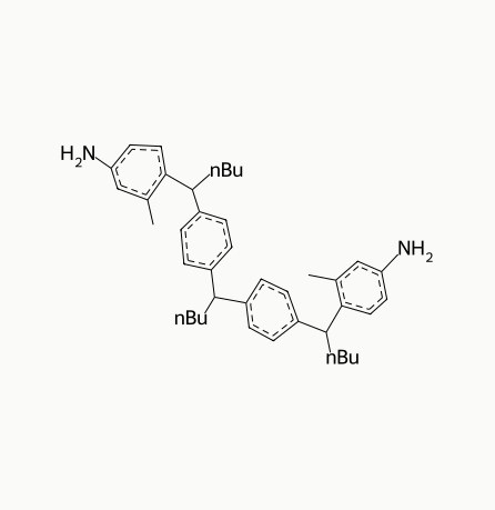 CCCCC(c1ccc(C(CCCC)c2ccc(N)cc2C)cc1)c1ccc(C(CCCC)c2ccc(N)cc2C)cc1